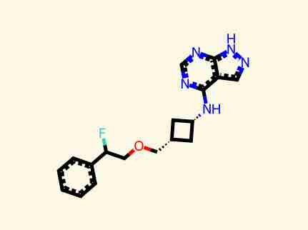 FC(COC[C@H]1C[C@@H](Nc2ncnc3[nH]ncc23)C1)c1ccccc1